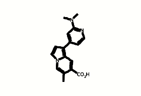 Cc1cn2ccc(-c3ccnc(N(C)C)c3)c2cc1C(=O)O